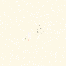 O=C(NCCc1csc2ccc(Br)cc12)C(F)(F)F